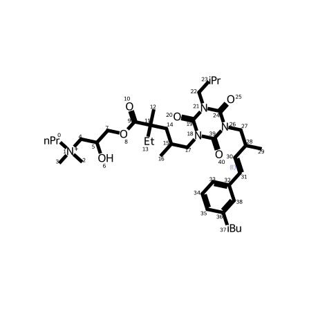 CCC[N+](C)(C)CC(O)COC(=O)C(C)(CC)CC(C)Cn1c(=O)n(CC(C)C)c(=O)n(CC(C)/C=C/c2cccc(C(C)CC)c2)c1=O